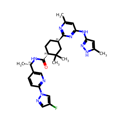 Cc1cc(Nc2cc(C)[nH]n2)nc([C@@H]2CC[C@@H](C(=O)N[C@@H](C)c3ccc(-n4cc(F)cn4)nc3)C(C)(C)C2)n1